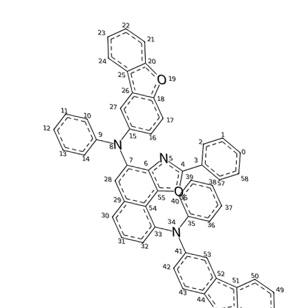 c1ccc(-c2nc3c(N(c4ccccc4)c4ccc5oc6ccccc6c5c4)cc4cccc(N(c5ccccc5)c5ccc6oc7ccccc7c6c5)c4c3o2)cc1